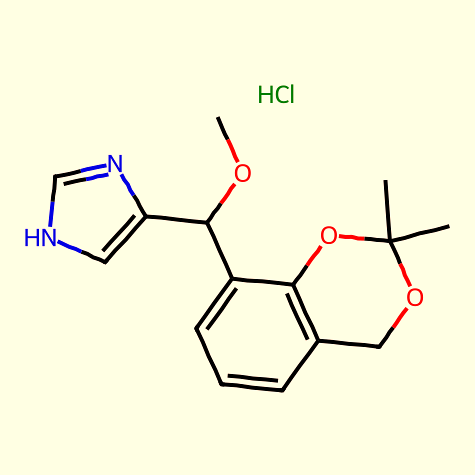 COC(c1c[nH]cn1)c1cccc2c1OC(C)(C)OC2.Cl